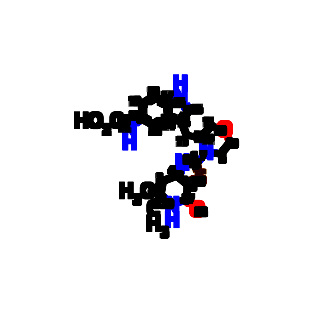 CC1(C)Cc2nc(N3CCOC[C@@H]3Cc3c[nH]c4ccc(NC(=O)O)cc34)sc2C(=O)N1